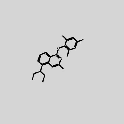 CCC(CC)c1cccc2c(Oc3c(C)cc(C)cc3C)nc(C)cc12